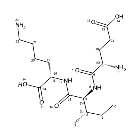 CC[C@H](C)[C@H](NC(=O)[C@@H](N)CCC(=O)O)C(=O)N[C@@H](CCCCN)C(=O)O